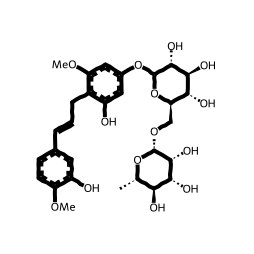 COc1ccc(/C=C/Cc2c(O)cc(OC3O[C@H](CO[C@H]4O[C@@H](C)[C@H](O)[C@@H](O)[C@H]4O)[C@@H](O)[C@H](O)[C@H]3O)cc2OC)cc1O